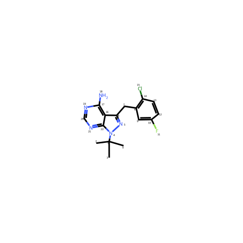 CC(C)(C)n1nc(Cc2cc(F)ccc2Cl)c2c(N)ncnc21